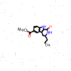 COC(=O)c1ccc2[nH]c3c(c2c1)CC(CCC#N)NC3=O